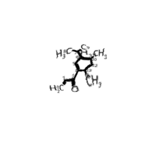 C=CC(=O)c1cc(C(C)C)c(C)cc1C